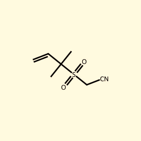 C=CC(C)(C)S(=O)(=O)CC#N